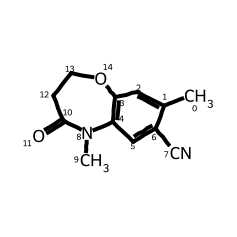 Cc1cc2c(cc1C#N)N(C)C(=O)CCO2